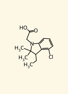 CCC1c2c(Cl)cccc2N(CC(=O)O)C1(C)C